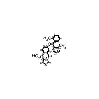 Cc1ccccc1[C@@H](Oc1cccc(CN2CSCC2C(=O)O)c1)c1ncoc1C